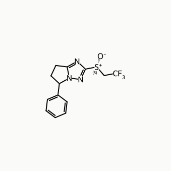 [O-][S@+](CC(F)(F)F)c1nc2n(n1)C(c1ccccc1)CC2